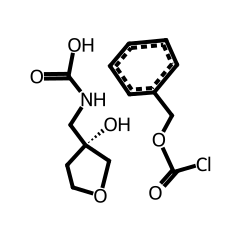 O=C(Cl)OCc1ccccc1.O=C(O)NC[C@]1(O)CCOC1